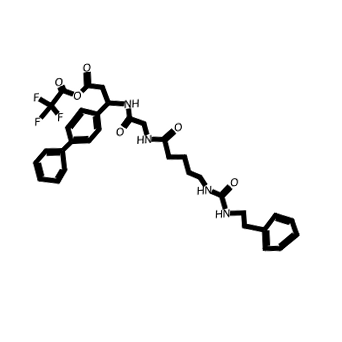 O=C(CCCCNC(=O)NCCc1ccccc1)NCC(=O)NC(CC(=O)OC(=O)C(F)(F)F)c1ccc(-c2ccccc2)cc1